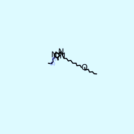 C=c1/c(=C\C=C/C)ncc2ncn(CCCCCCCCCOCCCCCC)c12